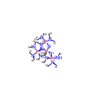 CNP(=NP(=S)(N=P(N(C)C)(N(C)C)N(C)C)N=P(N(C)C)(N(C)C)N(C)C)(N(C)C)N(C)C